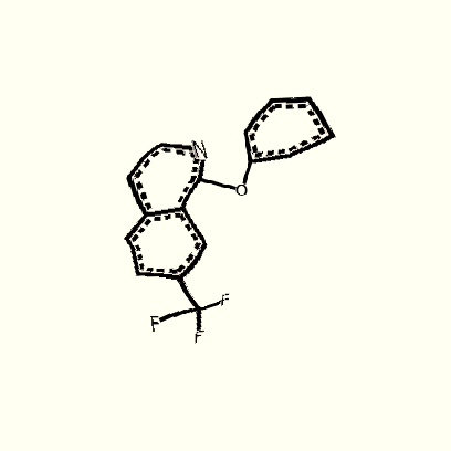 FC(F)(F)c1ccc2ccnc(Oc3ccccc3)c2c1